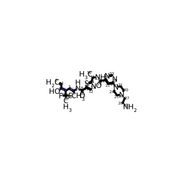 C=C/C(O)=C(\C=C(/C)NC(=O)c1cnc(C(C)NC(=O)c2cc(N3CCN(CCN)CC3)ncn2)s1)C(C)(F)F